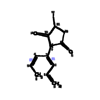 C=C/C=C(\C=C/C)N1C(=O)CC(I)C1=O